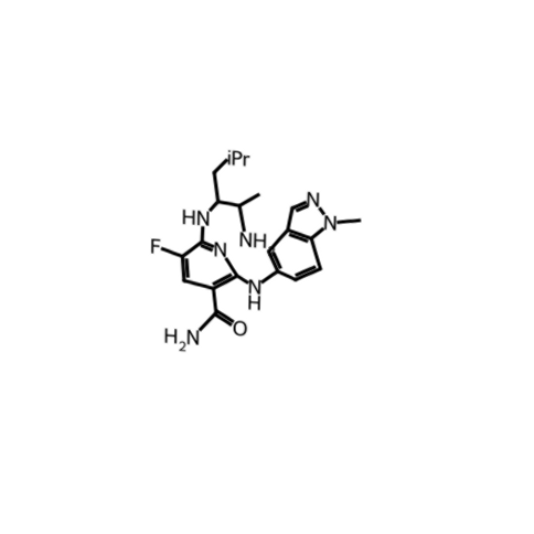 CC(C)CC(Nc1nc(Nc2ccc3c(cnn3C)c2)c(C(N)=O)cc1F)C(C)N